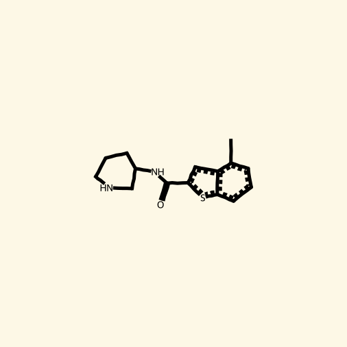 Cc1cccc2sc(C(=O)NC3CCCNC3)cc12